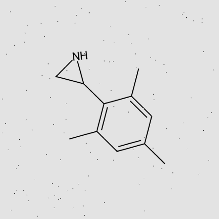 Cc1cc(C)c(C2CN2)c(C)c1